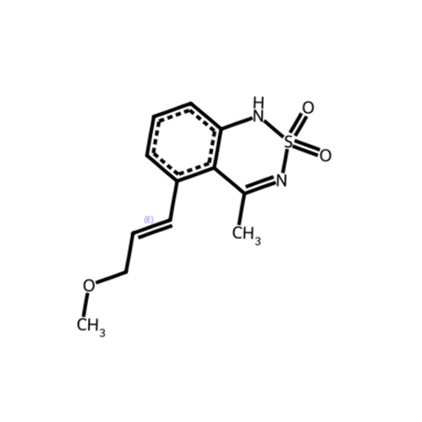 COC/C=C/c1cccc2c1C(C)=NS(=O)(=O)N2